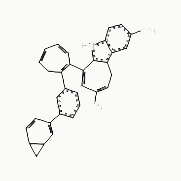 CC(C)(C)c1ccc2[nH]c3c(c2c1)CC=C(C#N)C=C3C1=C(c2cccc(C3=CC4CC4C=C3)c2)CC=CC=C1